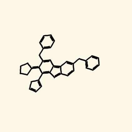 [C]1=c2ccc(Cc3ccccc3)cc2=c2cc(Cc3ccccc3)c(=C3CCCC3)c(C3=CC=CC3)c21